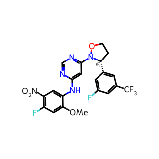 COc1cc(F)c([N+](=O)[O-])cc1Nc1cc(N2OCC[C@@H]2c2cc(F)cc(C(F)(F)F)c2)ncn1